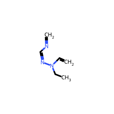 C=CN(CC)/N=C\N=C